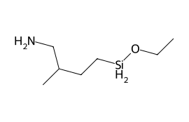 CCO[SiH2]CCC(C)CN